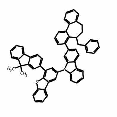 CC1(C)c2ccccc2-c2ccc(-c3cc(-n4c5ccccc5c5ccc(-c6cccc7c6C(Cc6ccccc6)CCc6ccccc6-7)cc54)cc4c3sc3ccccc34)cc21